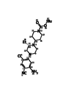 [C-]#[N+]c1cc(Cl)c(N2CCN(C3CCN(C(=O)OC(C)(C)C)CC3)[C@@H](CC)C2)cc1N